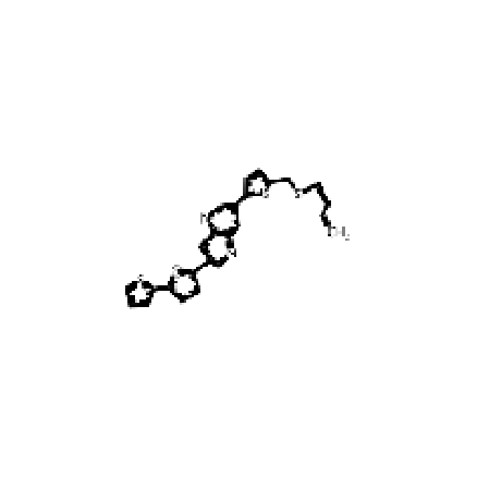 C=C/C=C\SCc1ccc(-c2cnc3cc(-c4ccc(-c5cccs5)s4)cnc3c2)s1